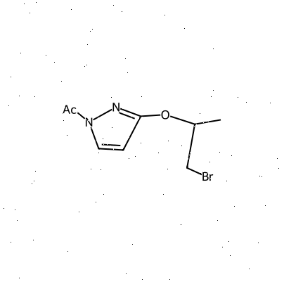 CC(=O)n1ccc(OC(C)CBr)n1